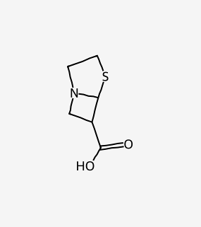 O=C(O)C1CN2CCSC12